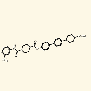 CCCCCC1CCC(c2ccc(-c3ccc(OC(=O)C4CCC(C(=O)Nc5cc[c]c(C)c5)CC4)cc3)cc2)CC1